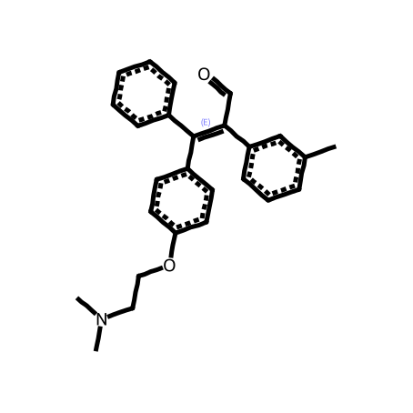 Cc1cccc(/C(C=O)=C(/c2ccccc2)c2ccc(OCCN(C)C)cc2)c1